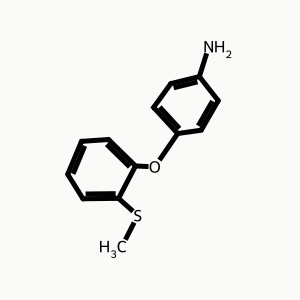 CSc1ccccc1Oc1ccc(N)cc1